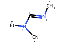 CCN(C#N)/C=N/C